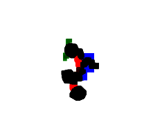 CCC[C@H](NC(=O)Cc1cc(F)cc(F)c1)C(=O)Nc1ncc(-c2ccccc2COC2CCCCC2)s1